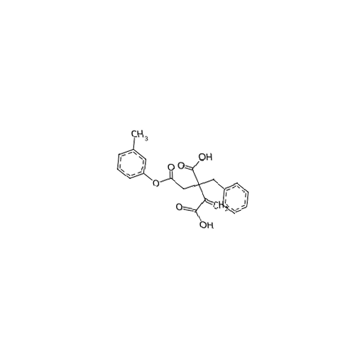 C=C(C(=O)O)C(CC(=O)Oc1cccc(C)c1)(Cc1ccccc1)C(=O)O